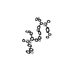 c1ccc(-c2cccc(-c3ccc(-c4cc(-c5ccccc5)nc(-c5cc(-c6ccc7oc8ccccc8c7c6)cc(-c6ccc7oc8cc(-c9ccc%10oc%11ccc(-c%12cc(-c%13ccc%14oc%15ccccc%15c%14c%13)cc(-c%13nc(-c%14ccccc%14)cc(-c%14ccc(-c%15ccc%16oc%17ccccc%17c%16c%15)cc%14)n%13)c%12)cc%11c%10c9)ccc8c7c6)c5)n4)cc3)c2)cc1